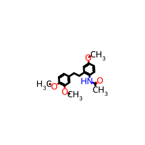 COc1ccc(NC(C)=O)c(CCc2ccc(OC)c(OC)c2)c1